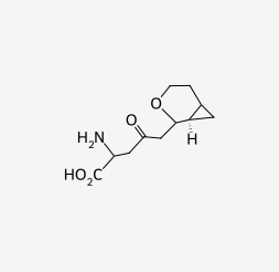 NC(CC(=O)CC1OCCC2C[C@H]21)C(=O)O